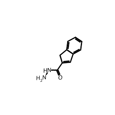 NNC(=O)C1=Cc2ccccc2C1